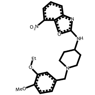 CCOc1cc(CN2CCC(Nc3nc4cccc([N+](=O)[O-])c4o3)CC2)ccc1OC